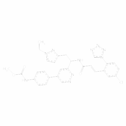 CCn1ccc(CC(NC(=O)C=Cc2cc(Cl)ccc2-n2cnnn2)c2cc(-c3ccc(NC(=O)OC)cc3)cnn2)n1